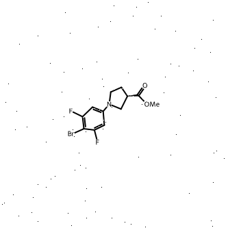 COC(=O)[C@@H]1CCN(c2cc(F)c(Br)c(F)c2)C1